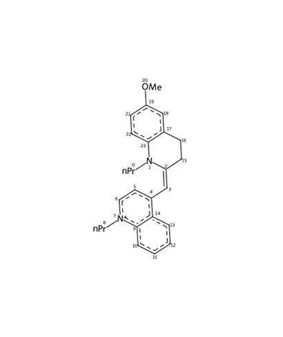 CCCN1/C(=C\c2cc[n+](CCC)c3ccccc23)CCc2cc(OC)ccc21